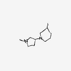 CC1CCCN(C2CCN(C)C2)C1